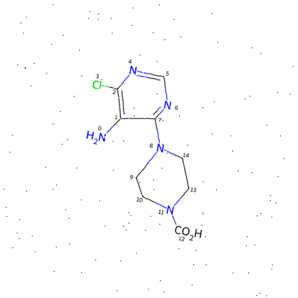 Nc1c(Cl)ncnc1N1CCN(C(=O)O)CC1